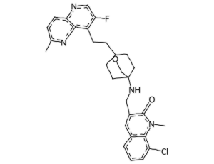 Cc1ccc2ncc(F)c(CCC34CCC(NCc5cc6cccc(Cl)c6n(C)c5=O)(CC3)CO4)c2n1